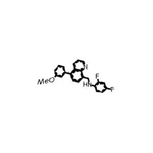 COc1cccc(-c2ccc(CNc3ccc(F)cc3F)c3ncccc23)c1